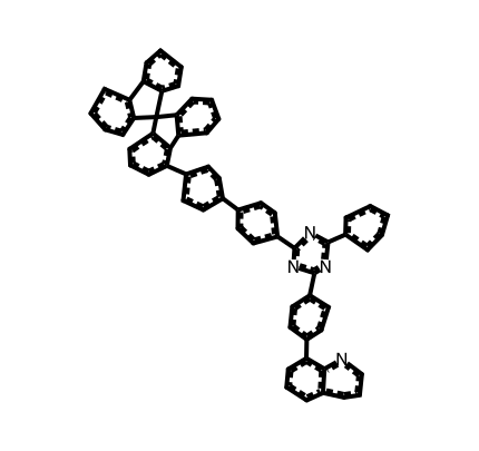 c1ccc(-c2nc(-c3ccc(-c4ccc(-c5cccc6c5-c5ccccc5C65c6ccccc6-c6ccccc65)cc4)cc3)nc(-c3ccc(-c4cccc5cccnc45)cc3)n2)cc1